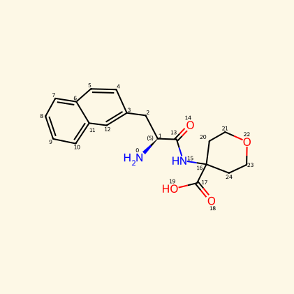 N[C@@H](Cc1ccc2ccccc2c1)C(=O)NC1(C(=O)O)CCOCC1